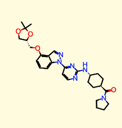 CC1(C)OC[C@@H](COc2cccc3c2cnn3-c2ccnc(N[C@H]3CC[C@H](C(=O)N4CCCC4)CC3)n2)O1